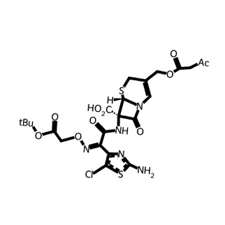 CC(=O)CC(=O)OCC1=CN2C(=O)[C@](NC(=O)/C(=N\OCC(=O)OC(C)(C)C)c3nc(N)sc3Cl)(C(=O)O)[C@@H]2SC1